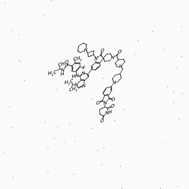 Cc1cc(F)c(Nc2nc(-c3ccc4c(c3)N(C3CC(N5CCCCC5)C3)C(=O)C43CCN(C(=O)C4CCN(CC5CCN(c6ccc7c(c6)C(=O)N(C6CCC(=O)NC6=O)C7=O)CC5)CC4)CC3)cc3ncn(C(C)C)c23)cc1C(=O)NC(C)C